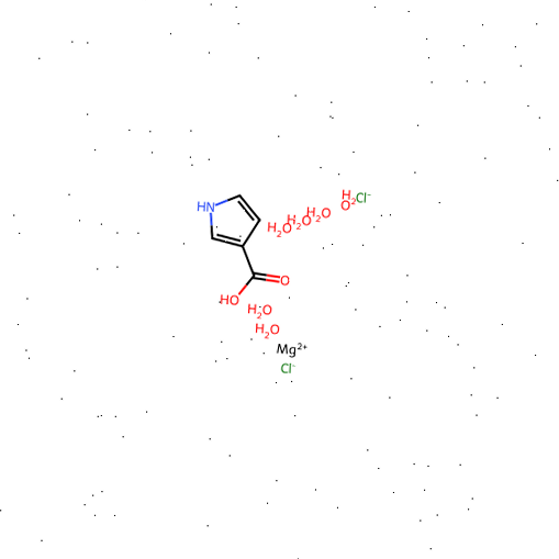 O.O.O.O.O.O.O=C(O)c1cc[nH]c1.[Cl-].[Cl-].[Mg+2]